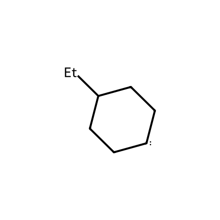 CCC1CC[C]CC1